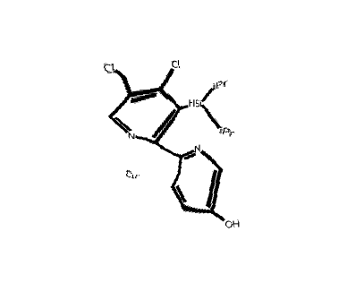 CC(C)[SiH](c1c(-c2ccc(O)cn2)ncc(Cl)c1Cl)C(C)C.[Cu]